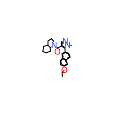 CCOc1ccc2cc(-c3c(C(=O)N4CCCC5CCCCC54)cnn3C)ccc2c1